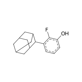 Oc1cccc(C2C3CC4CC(C3)CC2C4)c1F